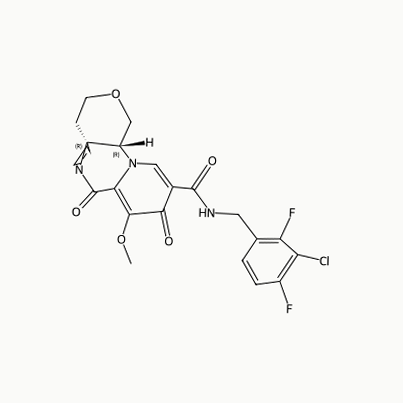 COc1c2n(cc(C(=O)NCc3ccc(F)c(Cl)c3F)c1=O)[C@H]1COCC[C@]13CC=CCN3C2=O